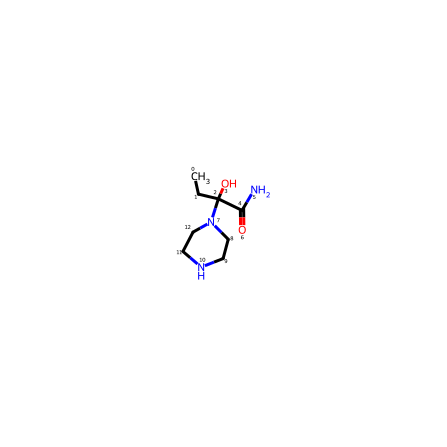 CCC(O)(C(N)=O)N1CCNCC1